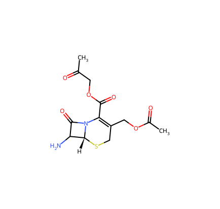 CC(=O)COC(=O)C1=C(COC(C)=O)CS[C@@H]2C(N)C(=O)N12